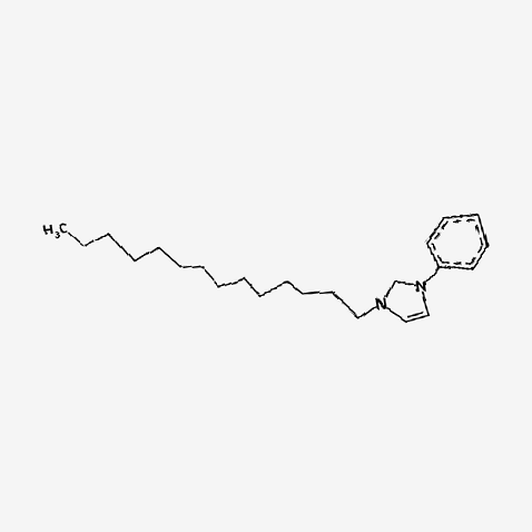 CCCCCCCCCCCCCCN1C=CN(c2ccccc2)C1